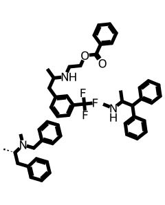 CC(Cc1cccc(C(F)(F)F)c1)NCCOC(=O)c1ccccc1.CNC(C)C(c1ccccc1)c1ccccc1.C[C@@H](Cc1ccccc1)N(C)Cc1ccccc1